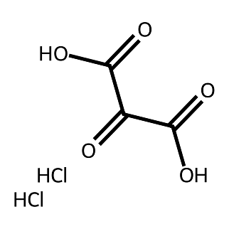 Cl.Cl.O=C(O)C(=O)C(=O)O